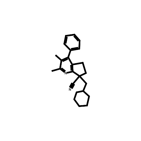 Cc1nc2c(c(-c3ccccc3)c1C)CCC2(C#N)CC1CCCCC1